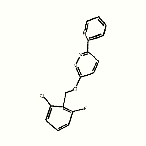 Fc1cccc(Cl)c1COc1ccc(-c2ccccn2)nn1